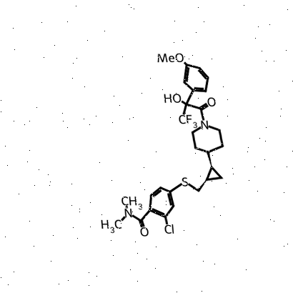 COc1cccc(C(O)(C(=O)N2CCC([C@H]3C[C@H]3CSc3ccc(C(=O)N(C)C)c(Cl)c3)CC2)C(F)(F)F)c1